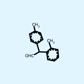 Cc1ccc(C(C=O)c2ccccc2C)cc1